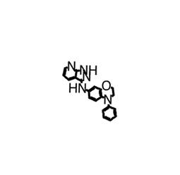 c1ccc(N2CCOc3cc(Nc4n[nH]c5ncccc45)ccc32)cc1